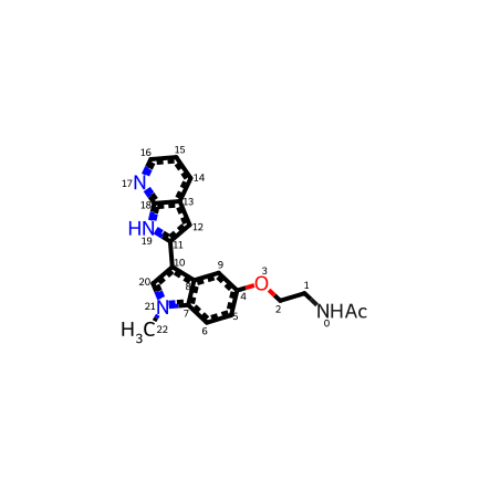 CC(=O)NCCOc1ccc2c(c1)c(-c1cc3cccnc3[nH]1)cn2C